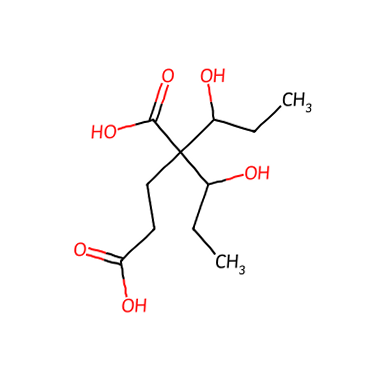 CCC(O)C(CCC(=O)O)(C(=O)O)C(O)CC